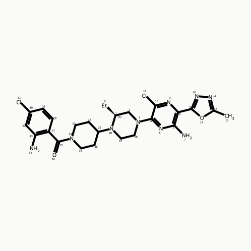 CC[C@H]1CN(c2nc(N)c(-c3nnc(C)o3)nc2Cl)CCN1C1CCN(C(=O)c2ccc(Cl)cc2N)CC1